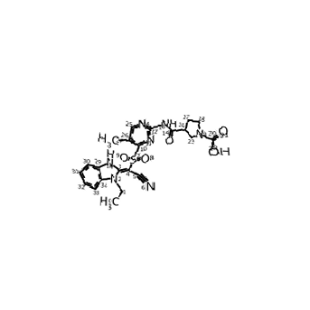 CCN1C(=C(C#N)S(=O)(=O)c2nc(NC(=O)C3CCN(C(=O)O)C3)ncc2C)Nc2ccccc21